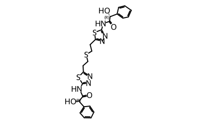 O=C(Nc1nnc(CCSCCc2nnc(NC(=O)[C@H](O)c3ccccc3)s2)s1)[C@H](O)c1ccccc1